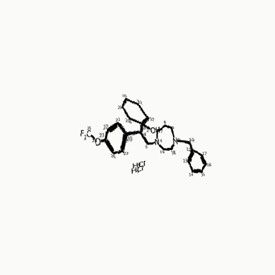 Cl.Cl.OC1(C(CN2CCCN(Cc3ccccc3)CC2)c2ccc(OC(F)(F)F)cc2)CCCCC1